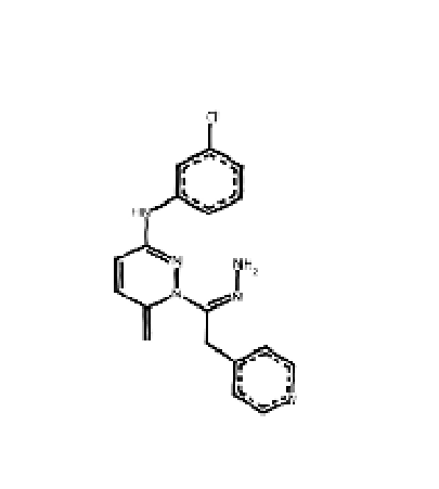 C=C1C=CC(Nc2cccc(Cl)c2)=NN1/C(Cc1ccncc1)=N\N